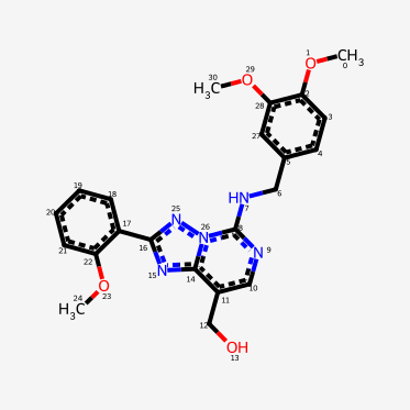 COc1ccc(CNc2ncc(CO)c3nc(-c4ccccc4OC)nn23)cc1OC